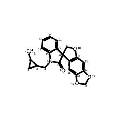 CC1CC1CN1C(=O)C2(COc3cc4c(cc32)OCO4)c2ccccc21